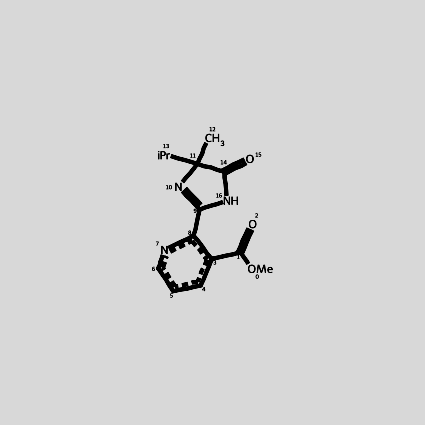 COC(=O)c1cccnc1C1=NC(C)(C(C)C)C(=O)N1